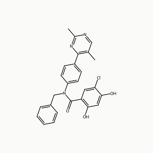 Cc1ncc(C)c(-c2ccc(N(Cc3ccccc3)C(=O)c3cc(Cl)c(O)cc3O)cc2)n1